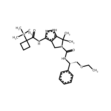 CCOC[C@@H](NC(=O)N1Cc2c(NC(=O)C3([Si](C)(C)C)CCC3)n[nH]c2C1(C)C)c1ccccc1